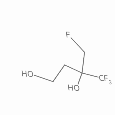 OCCC(O)(CF)C(F)(F)F